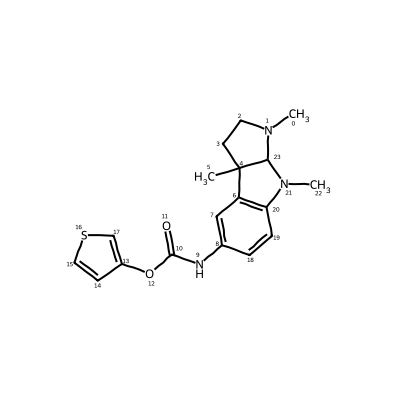 CN1CCC2(C)c3cc(NC(=O)Oc4ccsc4)ccc3N(C)C12